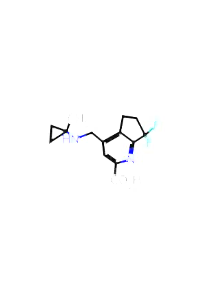 CC1(NCc2cc(C(=O)O)nc3c2CCC3(F)F)CC1